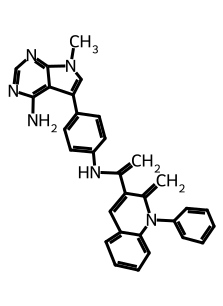 C=C(Nc1ccc(-c2cn(C)c3ncnc(N)c23)cc1)C1=Cc2ccccc2N(c2ccccc2)C1=C